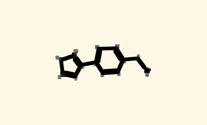 BrCc1ccc(-c2cnsn2)cc1